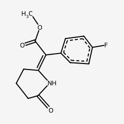 COC(=O)C(=C1CCCC(=O)N1)c1ccc(F)cc1